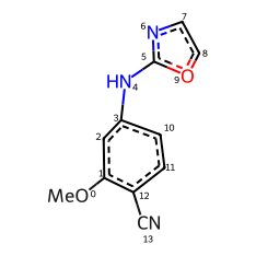 COc1cc(Nc2ncco2)ccc1C#N